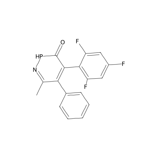 Cc1n[pH]c(=O)c(-c2c(F)cc(F)cc2F)c1-c1ccccc1